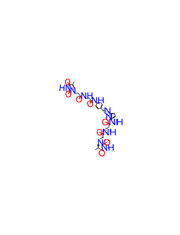 Cc1cn(CCC(=O)NCCC(=O)Nc2ccc(/C=N/c3ccc(NC(=O)CCNC(=O)CCn4cc(C)c(=O)[nH]c4=O)n3C)cc2)c(=O)[nH]c1=O